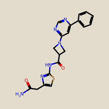 NC(=O)Cc1csc(NC(=O)C2CN(c3cc(-c4ccccc4)ncn3)C2)n1